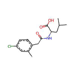 Cc1cc(Cl)ccc1CC(=O)NC(CC(C)C)C(=O)O